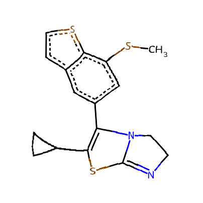 CSc1cc(C2=C(C3CC3)SC3=NCCN32)cc2ccsc12